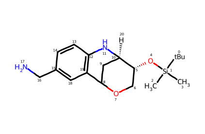 CC(C)(C)[Si](C)(C)O[C@@H]1COC2C[C@H]1Nc1ccc(CN)cc12